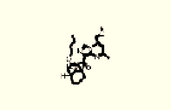 CCCCO[C@H]1C[C@H]2CCC[C@@H](C1)[C@@H]2NC(=O)c1ncn2c(COC)cc(C)nc12